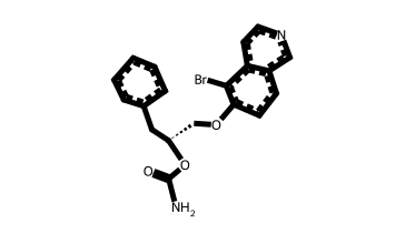 NC(=O)O[C@@H](COc1ccc2cnccc2c1Br)Cc1ccccc1